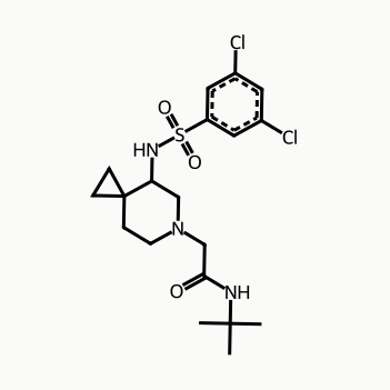 CC(C)(C)NC(=O)CN1CCC2(CC2)C(NS(=O)(=O)c2cc(Cl)cc(Cl)c2)C1